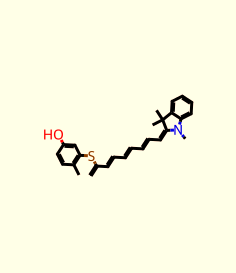 C=C(/C=C/C=C/C=C/C=C1/N(C)c2ccccc2C1(C)C)Sc1cc(O)ccc1C